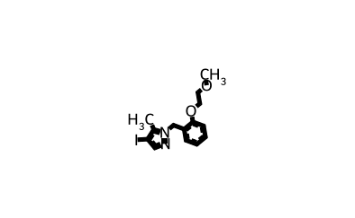 COCCOc1ccccc1Cn1ncc(I)c1C